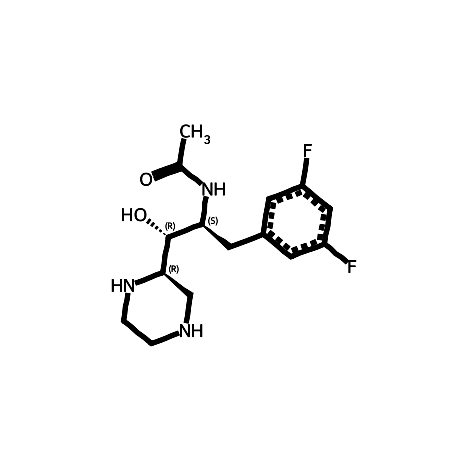 CC(=O)N[C@@H](Cc1cc(F)cc(F)c1)[C@@H](O)[C@H]1CNCCN1